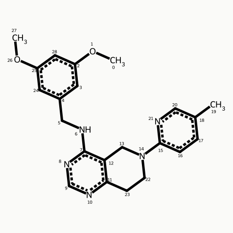 COc1cc(CNc2ncnc3c2CN(c2ccc(C)cn2)CC3)cc(OC)c1